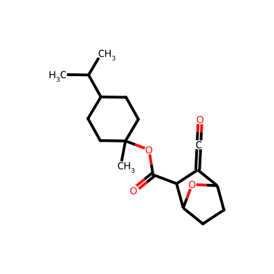 CC(C)C1CCC(C)(OC(=O)C2C(=C=O)C3CCC2O3)CC1